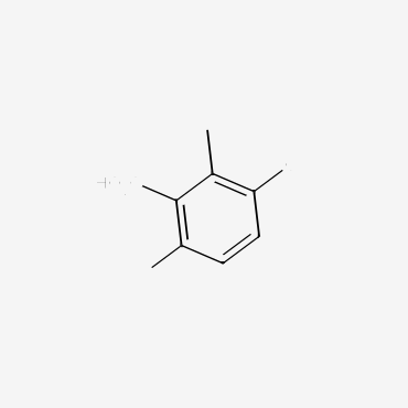 Cc1c(C(F)(F)F)ccc(F)c1C(=O)O